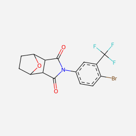 O=C1C2C3CCC(O3)C2C(=O)N1c1ccc(Br)c(C(F)(F)F)c1